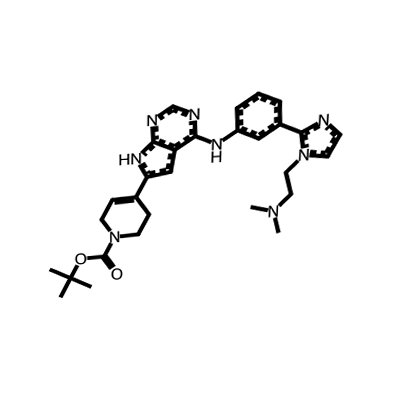 CN(C)CCn1ccnc1-c1cccc(Nc2ncnc3[nH]c(C4=CCN(C(=O)OC(C)(C)C)CC4)cc23)c1